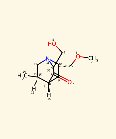 COC[C@]1(CO)C(=O)[C@@H]2CCN1C[C@@H]2C